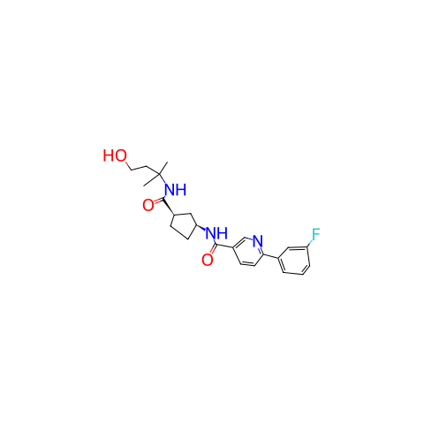 CC(C)(CCO)NC(=O)[C@@H]1CC[C@H](NC(=O)c2ccc(-c3cccc(F)c3)nc2)C1